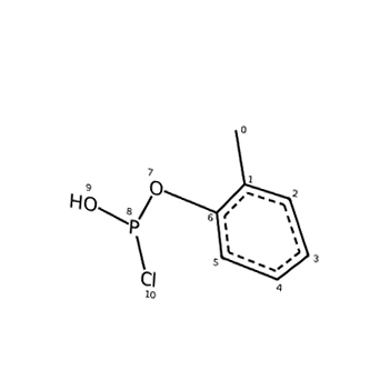 Cc1ccccc1OP(O)Cl